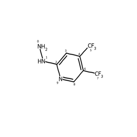 NNc1cc(C(F)(F)F)c(C(F)(F)F)cn1